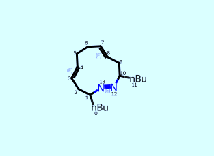 CCCCC1C/C=C/CC/C=C/CC(CCCC)/N=N/1